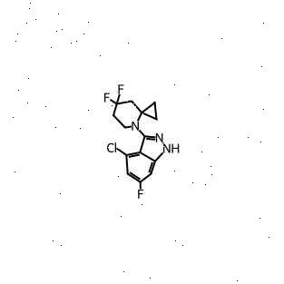 Fc1cc(Cl)c2c(N3CCC(F)(F)CC34CC4)n[nH]c2c1